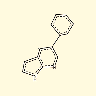 [c]1c(-c2ccccc2)cnc2[nH]ccc12